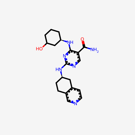 NC(=O)c1cnc(N[C@@H]2CCc3cnccc3C2)nc1N[C@@H]1CCCC(O)C1